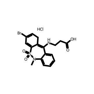 CN1c2ccccc2C(NCCC(=O)O)=C2CC=C(Br)C=C2S1(=O)=O.Cl